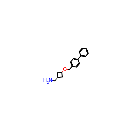 NC[C@H]1C[C@H](OCc2ccc(-c3ccccc3)cc2)C1